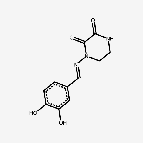 O=C1NCCN(N=Cc2ccc(O)c(O)c2)C1=O